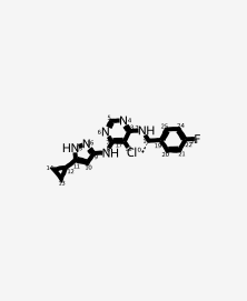 C[C@H](Nc1ncnc(Nc2cc(C3CC3)[nH]n2)c1Cl)c1ccc(F)cc1